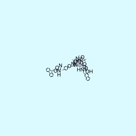 C[C@@H](C(=O)N[C@H](C(=O)N1C[C@@H](n2cc(COc3ccc(C[C@@H](C#N)NC(=O)OCC4c5ccccc5-c5ccccc54)cc3)nn2)C[C@H]1C(=O)NC(Cc1ccc2ccccc2c1)C(=O)O)C(C)(C)C)N(C)C(=O)OC(C)(C)C